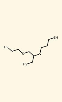 SCCCSC(CS)CSCCS